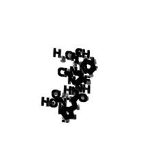 CN(C)C[C@@H]1CCCCN1c1nc(Cl)nc(NNC(=O)[C@@H](CNC(=O)O)CC2CCCC2)c1F